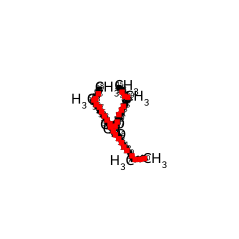 CCCCCCC(C)CCCCCCCCCCC(=O)COCC(OCC(=O)CCCCCCCCCCC(C)CCCCCC)C(=O)CC(=O)CCCCCCCCCCC(C)CCCCCC